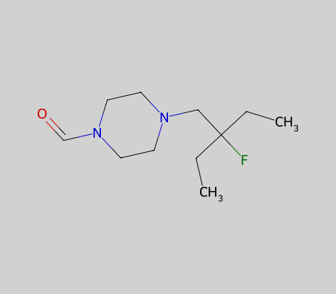 CCC(F)(CC)CN1CCN(C=O)CC1